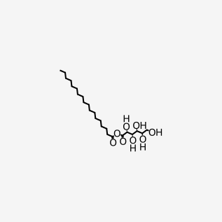 CCCCCCCCCCCCCCCCCC(=O)OC(=O)[C@H](O)[C@@H](O)[C@H](O)[C@H](O)CO